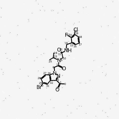 CC(=O)c1nn(CC(=O)N(CC(=O)NCc2cccc(Cl)c2F)C(C)C)c2ccc(Br)cc12